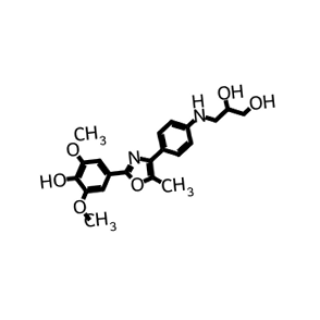 COc1cc(-c2nc(-c3ccc(NCC(O)CO)cc3)c(C)o2)cc(OC)c1O